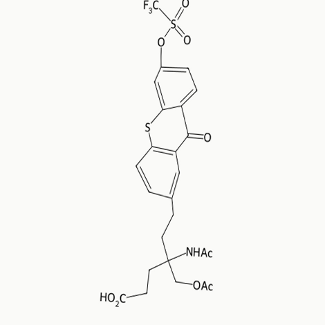 CC(=O)NC(CCC(=O)O)(CCc1ccc2sc3cc(OS(=O)(=O)C(F)(F)F)ccc3c(=O)c2c1)COC(C)=O